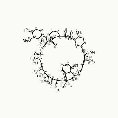 CO[C@H]1C[C@@H]2CCC(C)C(O)(O2)C(=O)C(=O)N2CCCC3C2C(=O)O[C@@H](CC(=O)[C@H](C)/C=C(\C)C(O)[C@@H](OC)C(=O)C(C)C[C@H](C)C2CCC(/C=C/1C)ON2c1c(Cl)cccc1Cl)[C@H]3C[C@@H]1CCC(O)[C@H](OC)C1